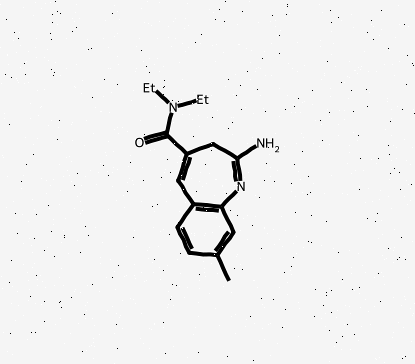 CCN(CC)C(=O)C1=Cc2ccc(C)cc2N=C(N)C1